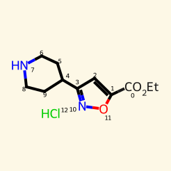 CCOC(=O)c1cc(C2CCNCC2)no1.Cl